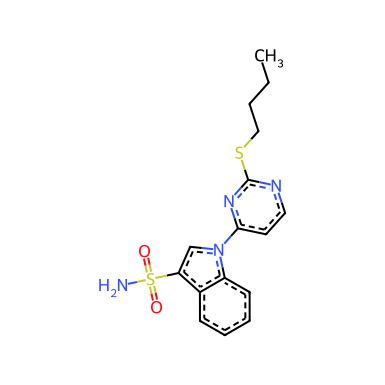 CCCCSc1nccc(-n2cc(S(N)(=O)=O)c3ccccc32)n1